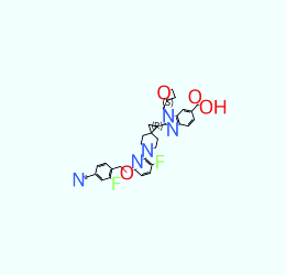 N#Cc1ccc(COc2ccc(F)c(N3CCC4(CC3)C[C@H]4c3nc4ccc(C(=O)O)cc4n3C[C@@H]3CCO3)n2)c(F)c1